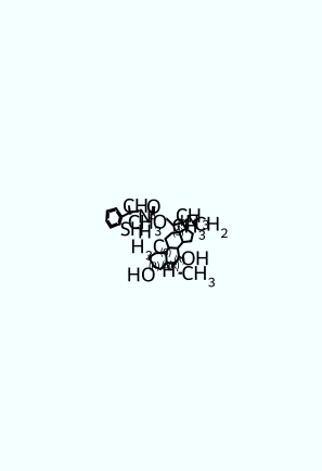 C=NC1([C@H](C)CCOC(=O)NCC(C)(C)c2ccccc2S)CCC2C3C(CC[C@@]21C)[C@@]1(C)CC[C@@H](O)C[C@H]1[C@@H](CC)[C@H]3O